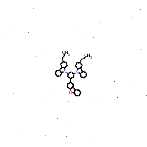 C=CCc1ccc2c(c1)c1ccccc1n2-c1cc(-c2ccc3oc4ccccc4c3c2)cc(-n2c3ccccc3c3cc(CC=C)ccc32)c1